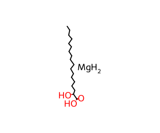 CCCCCCCCCCCCCCCCC(O)C(=O)O.[MgH2]